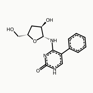 O=c1nc(N[C@@H]2O[C@H](CO)C[C@H]2O)c(-c2ccccc2)c[nH]1